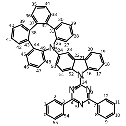 c1ccc(-c2nc(-c3ccccc3)nc(-n3c4ccccc4c4cc(-n5c6ccccc6c6ccccc6c6ccccc6c6ccccc65)ccc43)n2)cc1